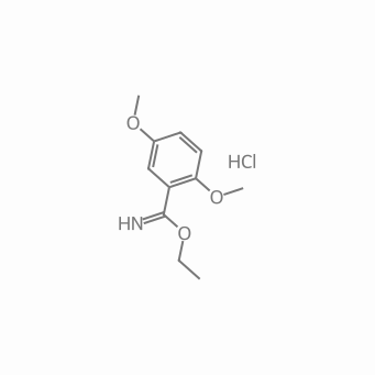 CCOC(=N)c1cc(OC)ccc1OC.Cl